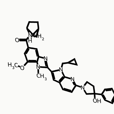 COc1cc(C(=O)N2CC3CCC2[C@@H]3N)cc2nc(-c3cc4ccc(N5CCC(O)(c6ccccc6)C5)nc4n3CC3CC3)n(C)c12